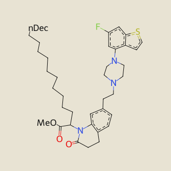 CCCCCCCCCCCCCCCCCCCCC(C(=O)OC)N1C(=O)CCc2ccc(CCN3CCN(c4cc(F)cc5sccc45)CC3)cc21